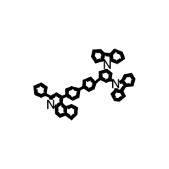 c1ccc(-c2cc(-c3ccc(-c4ccc(-c5cc(-n6c7ccccc7c7ccccc76)cc(-n6c7ccccc7c7ccccc76)c5)cc4)cc3)c3c(ccc4ccccc43)n2)cc1